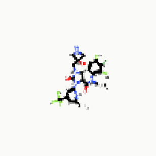 Cc1cc(C(F)(F)F)cc(N2C(=O)N(CC3(O)CNC3)CC2C(=O)N(C)c2ccc(F)c(Cl)c2F)n1